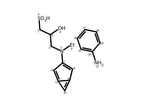 CCN(CC(O)CS(=O)(=O)O)c1cc2cc-2c1.Nc1ccccc1